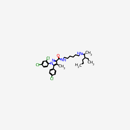 C=CCC(CC)C(C)NCCCCCCNC(=O)c1nn(-c2ccc(Cl)cc2Cl)c(-c2ccc(Cl)cc2)c1C